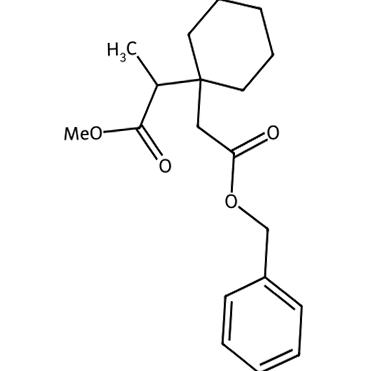 COC(=O)C(C)C1(CC(=O)OCc2ccccc2)CCCCC1